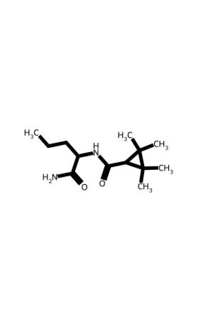 CCCC(NC(=O)C1C(C)(C)C1(C)C)C(N)=O